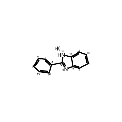 [K].c1ccc(-c2nc3ccccc3[nH]2)cc1